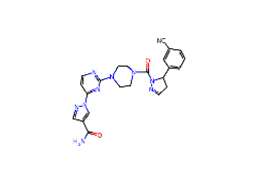 N#Cc1cccc(C2CC=NN2C(=O)N2CCN(c3nccc(-n4cc(C(N)=O)cn4)n3)CC2)c1